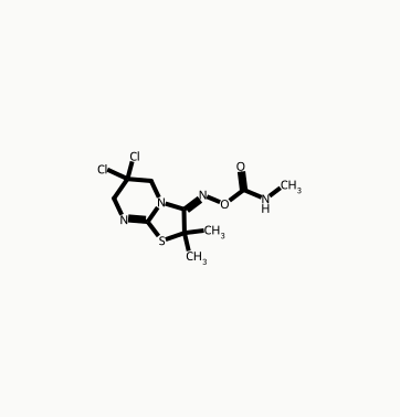 CNC(=O)ON=C1N2CC(Cl)(Cl)CN=C2SC1(C)C